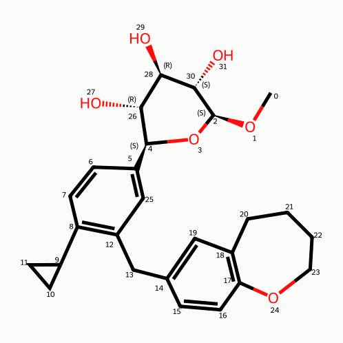 CO[C@H]1O[C@@H](c2ccc(C3CC3)c(Cc3ccc4c(c3)CCCCO4)c2)[C@H](O)[C@@H](O)[C@@H]1O